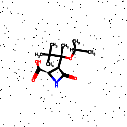 C[SiH](C)O[C@](C)([C@H]1C(=O)N[C@@H]1C(=O)O)C(C)(C)C